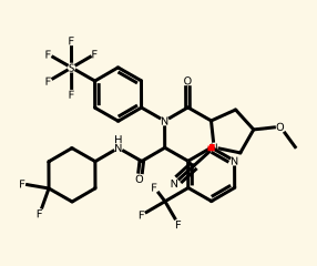 COC1CC(C(=O)N(c2ccc(S(F)(F)(F)(F)F)cc2)C(C(=O)NC2CCC(F)(F)CC2)c2cnccc2C(F)(F)F)N(C#N)C1